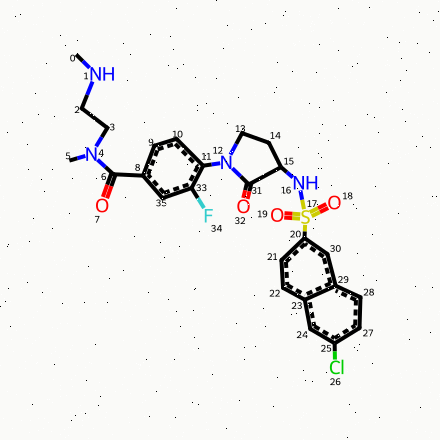 CNCCN(C)C(=O)c1ccc(N2CCC(NS(=O)(=O)c3ccc4cc(Cl)ccc4c3)C2=O)c(F)c1